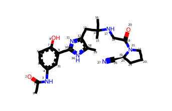 CC(=O)Nc1ccc(O)c(-c2nc(CC(C)(C)NCC(=O)N3CCC[C@H]3C#N)c(C)[nH]2)c1